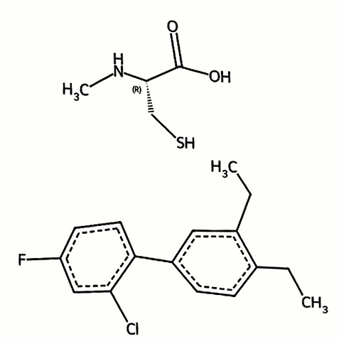 CCc1ccc(-c2ccc(F)cc2Cl)cc1CC.CN[C@@H](CS)C(=O)O